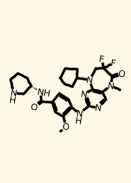 COc1cc(C(=O)N[C@H]2CCCNC2)ccc1Nc1ncc2c(n1)N(C1CCCCC1)CC(F)(F)C(=O)N2C